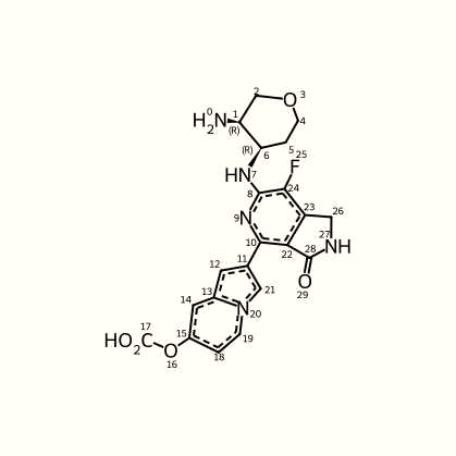 N[C@H]1COCC[C@H]1Nc1nc(-c2cc3cc(OC(=O)O)ccn3c2)c2c(c1F)CNC2=O